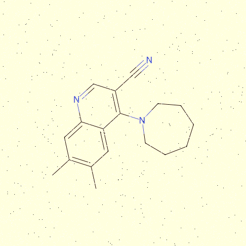 Cc1cc2ncc(C#N)c(N3CCCCCC3)c2cc1C